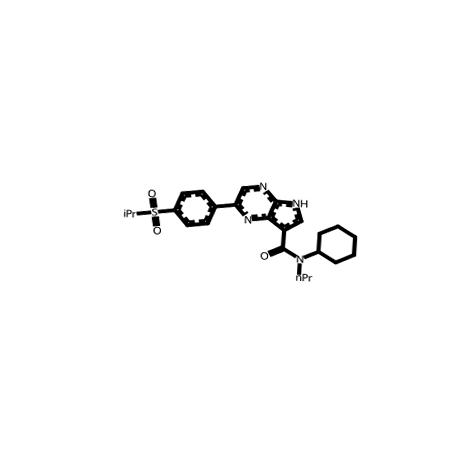 CCCN(C(=O)c1c[nH]c2ncc(-c3ccc(S(=O)(=O)C(C)C)cc3)nc12)C1CCCCC1